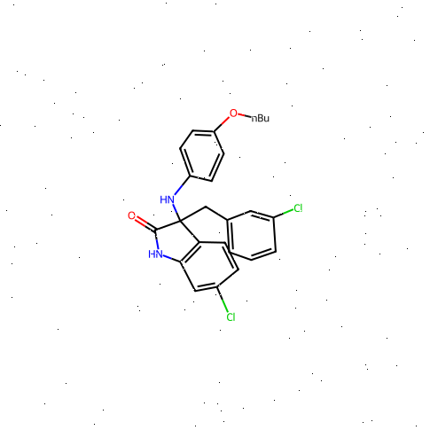 CCCCOc1ccc(NC2(Cc3cccc(Cl)c3)C(=O)Nc3cc(Cl)ccc32)cc1